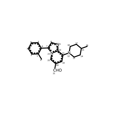 Cc1ccccc1-c1cnc2c(N3CCC(C)CC3)cc(C=O)cn12